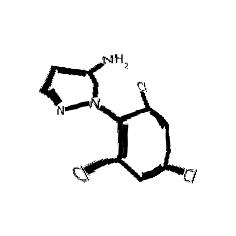 Nc1ccnn1-c1c(Cl)cc(Cl)cc1Cl